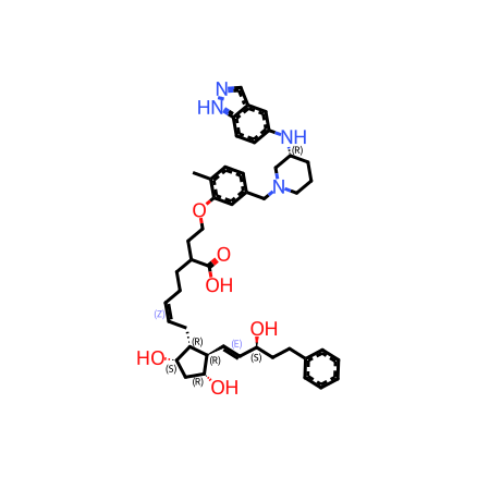 Cc1ccc(CN2CCC[C@@H](Nc3ccc4[nH]ncc4c3)C2)cc1OCCC(CC/C=C\C[C@@H]1[C@@H](/C=C/[C@@H](O)CCc2ccccc2)[C@H](O)C[C@@H]1O)C(=O)O